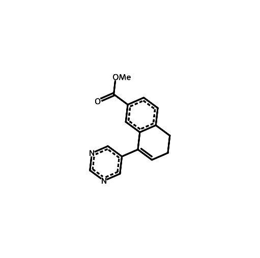 COC(=O)c1ccc2c(c1)C(c1cncnc1)=CCC2